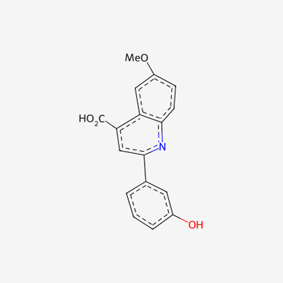 COc1ccc2nc(-c3cccc(O)c3)cc(C(=O)O)c2c1